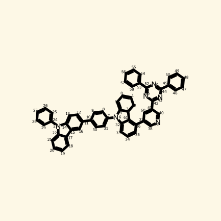 C1=CCC2C(=C1)N(c1ccc(-c3ccc4c(c3)c3ccccc3n4-c3ccccc3)cc1)c1cccc(-c3cncc(-c4nc(-c5ccccc5)nc(-c5ccccc5)n4)c3)c12